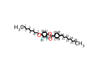 CCCCCCCCOc1ccc(OC(=O)c2ccc(CCCCCCCC)cc2)c(F)c1F